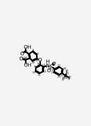 O=C(O)c1ccc(Oc2ccccc2NS(=O)(=O)c2ccc(C(F)(F)F)cc2)cc1C(=O)O